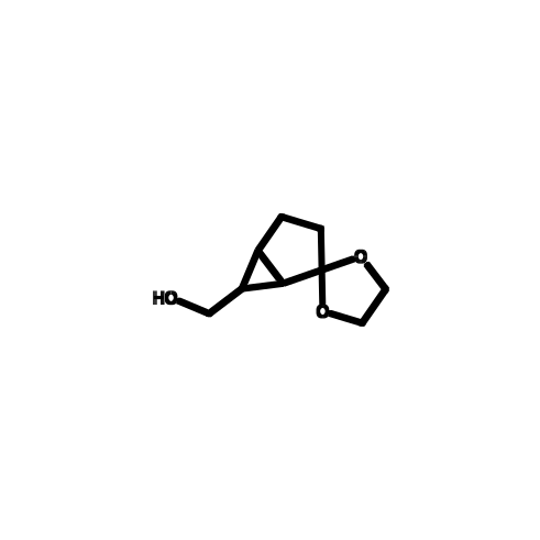 OCC1C2CCC3(OCCO3)C12